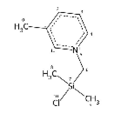 Cc1ccc[n+](C[Si](C)(C)Cl)c1